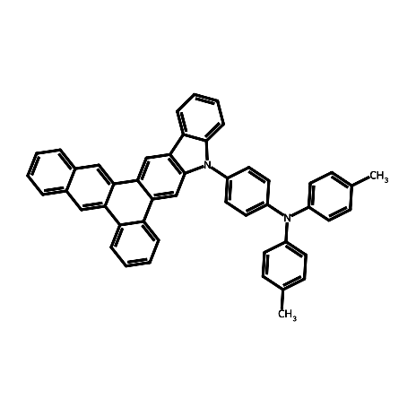 Cc1ccc(N(c2ccc(C)cc2)c2ccc(-n3c4ccccc4c4cc5c6cc7ccccc7cc6c6ccccc6c5cc43)cc2)cc1